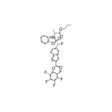 CCCOC(=O)C(C)N[P@@](=O)(Oc1ccccc1)C(F)c1ccc2sc(C(=O)Oc3c(F)c(F)c(F)c(F)c3F)cc2c1